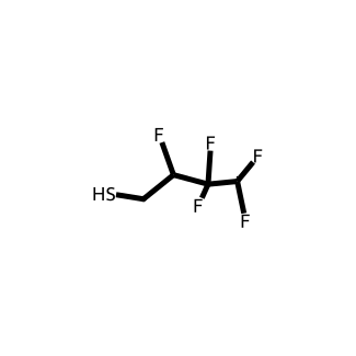 F[C](F)C(F)(F)C(F)CS